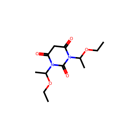 CCOC(C)N1C(=O)CC(=O)N(C(C)OCC)C1=O